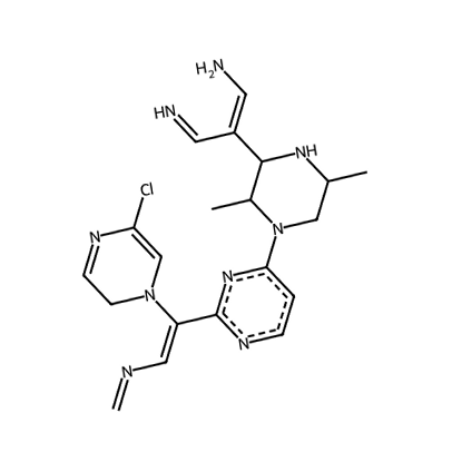 C=N/C=C(/c1nccc(N2CC(C)NC(/C(C=N)=C/N)C2C)n1)N1C=C(Cl)N=CC1